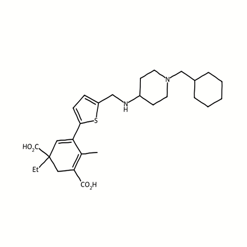 CCC1(C(=O)O)C=C(c2ccc(CNC3CCN(CC4CCCCC4)CC3)s2)C(C)=C(C(=O)O)C1